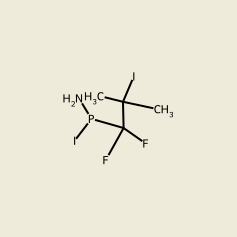 CC(C)(I)C(F)(F)P(N)I